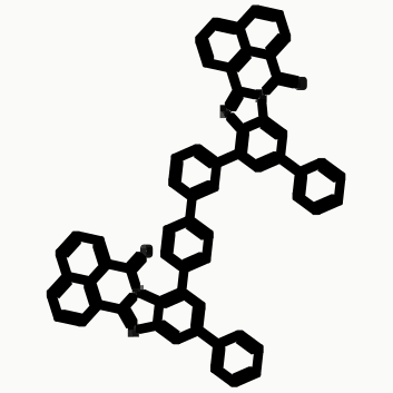 O=c1c2cccc3cccc(c32)c2nc3c(-c4cccc(-c5ccc(-c6cc(-c7ccccc7)cc7nc8c9cccc%10cccc(c(=O)n8c67)c%109)cc5)c4)cc(-c4ccccc4)cc3n12